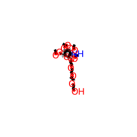 CC(=O)N[C@@H]1[C@@H](OCCOCCOCCOCCO)O[C@H](COC(C)=O)[C@H](OC(C)=O)[C@@H]1OC(C)=O